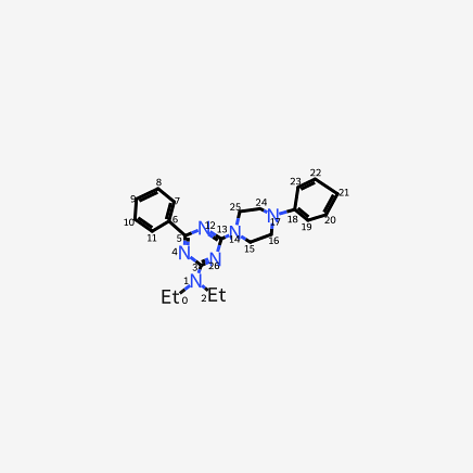 CCN(CC)c1nc(-c2ccccc2)nc(N2CCN(c3ccccc3)CC2)n1